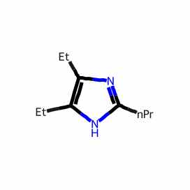 CCCc1nc(CC)c(CC)[nH]1